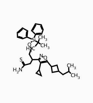 CC(C)CC1CC(c2onc(C(CCO[Si](c3ccccc3)(c3ccccc3)C(C)(C)C)CC(N)=S)c2C2CC2)C1